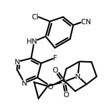 N#Cc1ccc(Nc2ncnc(OC3CC4CCC(C3)N4S(=O)(=O)C3CC3)c2F)c(Cl)c1